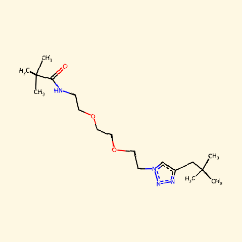 CC(C)(C)Cc1cn(CCOCCOCCNC(=O)C(C)(C)C)nn1